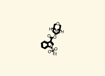 CCS(=O)(=O)n1cc(C(=O)O[C@H]2C[C@H]3COC[C@@H](C2)N3)c2ccccc21